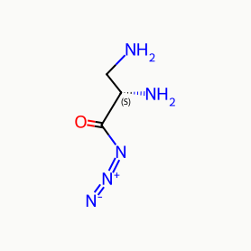 [N-]=[N+]=NC(=O)[C@@H](N)CN